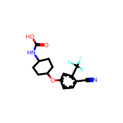 N#Cc1ccc(OC2CCC(NC(=O)O)CC2)cc1C(F)(F)F